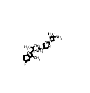 Cc1c([C@H](NC(=O)Nc2cnc(N3CC(C)(N)C3)nc2)C(C)C)oc2ccc(F)cc12